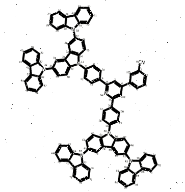 N#Cc1cccc(-c2cc(-c3ccc(-n4c5ccc(-n6c7ccccc7c7ccccc76)cc5c5cc(-n6c7ccccc7c7ccccc76)ccc54)cc3)nc(-c3ccc(-n4c5ccc(-n6c7ccccc7c7ccccc76)cc5c5cc(-n6c7ccccc7c7ccccc76)ccc54)cc3)c2)c1